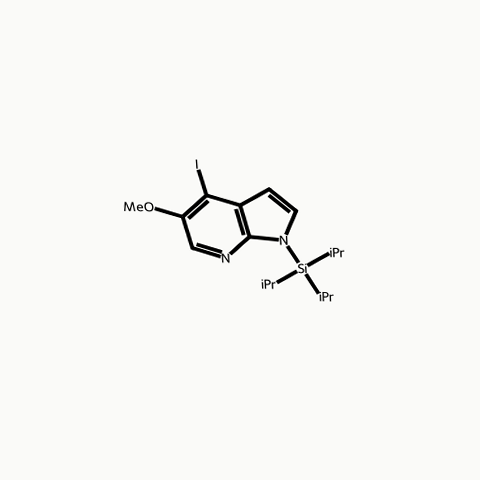 COc1cnc2c(ccn2[Si](C(C)C)(C(C)C)C(C)C)c1I